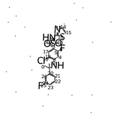 CC(Nc1cc(F)c(S(=O)(=O)Nc2nccs2)cc1Cl)c1cccc(F)c1